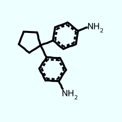 Nc1ccc(C2(c3ccc(N)cc3)CCCC2)cc1